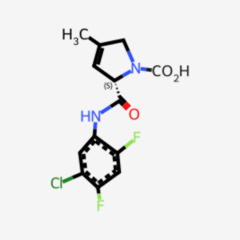 CC1=C[C@@H](C(=O)Nc2cc(Cl)c(F)cc2F)N(C(=O)O)C1